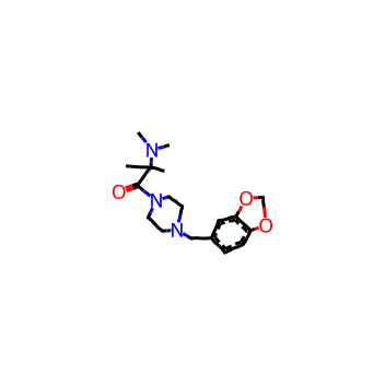 CN(C)C(C)(C)C(=O)N1CCN(Cc2ccc3c(c2)OCO3)CC1